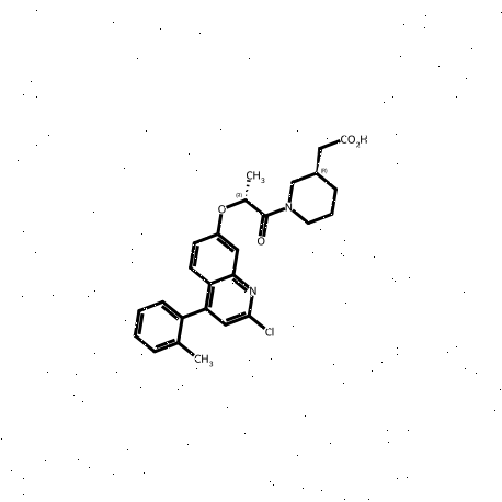 Cc1ccccc1-c1cc(Cl)nc2cc(O[C@H](C)C(=O)N3CCC[C@H](CC(=O)O)C3)ccc12